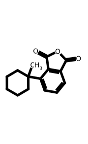 CC1(c2cccc3c2C(=O)OC3=O)CCCCC1